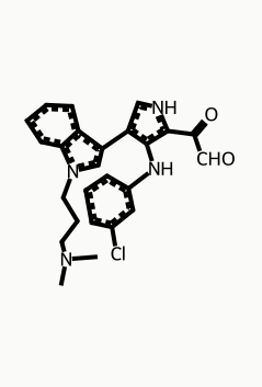 CN(C)CCCn1cc(-c2c[nH]c(C(=O)C=O)c2Nc2cccc(Cl)c2)c2ccccc21